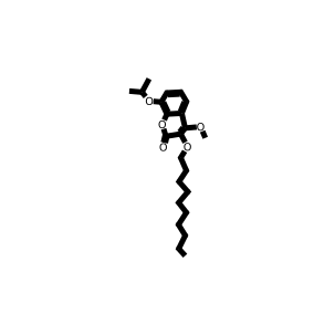 CCCCCCCCCCOc1c(OC)c2cccc(OC(C)C)c2oc1=O